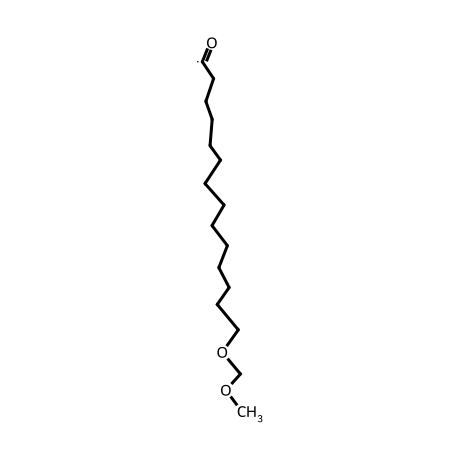 COCOCCCCCCCCCCCCC[C]=O